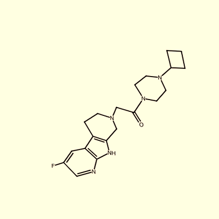 O=C(CN1CCc2c([nH]c3ncc(F)cc23)C1)N1CCN(C2CCC2)CC1